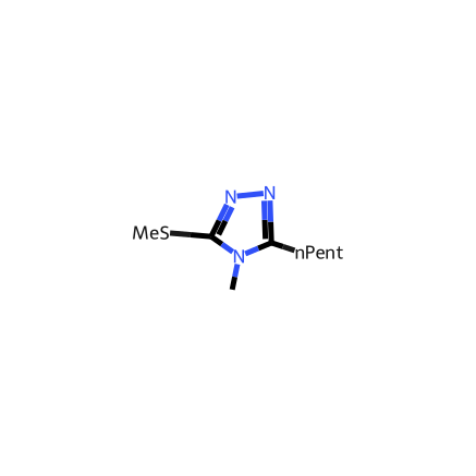 [CH2]CCCCc1nnc(SC)n1C